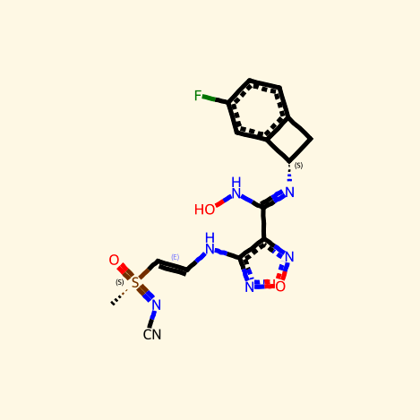 C[S@](=O)(/C=C/Nc1nonc1C(=N[C@H]1Cc2ccc(F)cc21)NO)=NC#N